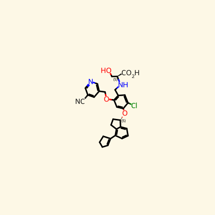 N#Cc1cncc(COc2cc(O[C@H]3CCc4c(C5=CCCC5)cccc43)c(Cl)cc2CN[C@@H](CO)C(=O)O)c1